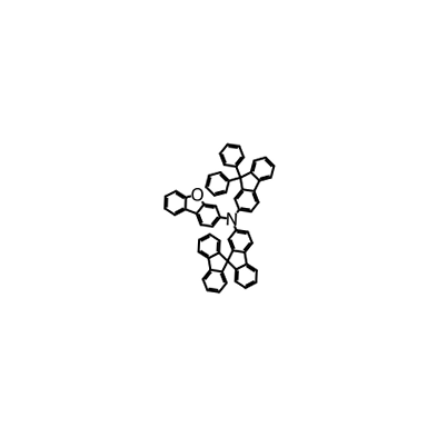 c1ccc(C2(c3ccccc3)c3ccccc3-c3ccc(N(c4ccc5c(c4)C4(c6ccccc6-c6ccccc64)c4ccccc4-5)c4ccc5c(c4)oc4ccccc45)cc32)cc1